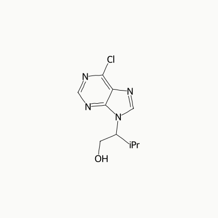 CC(C)C(CO)n1cnc2c(Cl)ncnc21